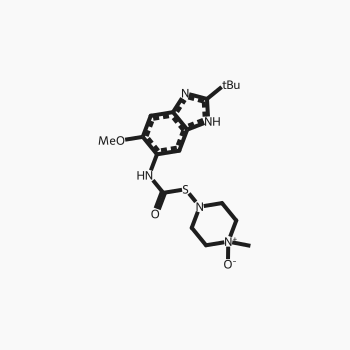 COc1cc2nc(C(C)(C)C)[nH]c2cc1NC(=O)SN1CC[N+](C)([O-])CC1